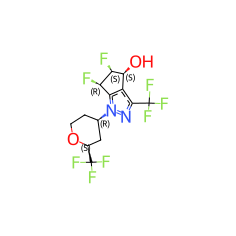 O[C@H]1c2c(C(F)(F)F)nn([C@@H]3CCO[C@H](C(F)(F)F)C3)c2[C@@H](F)[C@H]1F